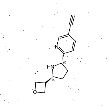 C#Cc1ccc([C@@H]2CC[C@@H](C3COC3)N2)nc1